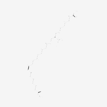 COC(=O)CCCCCC/C=C\CCCCCCCCOCC(COCCCCCC(=O)OC)N(C)C